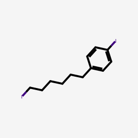 ICCCCCCc1ccc(I)cc1